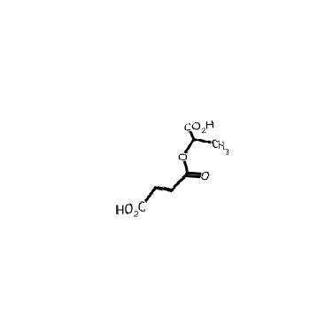 CC(OC(=O)CCC(=O)O)C(=O)O